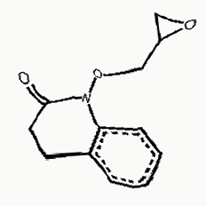 O=C1CCc2ccccc2N1OCC1CO1